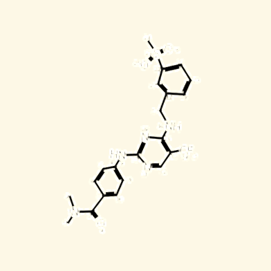 CN(C)C(=O)c1ccc(Nc2ncc(C(F)(F)F)c(NCc3cccc(S(C)(=O)=O)c3)n2)cc1